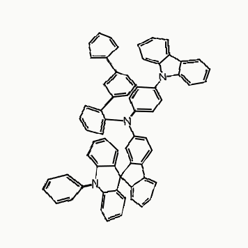 c1ccc(-c2cccc(-c3ccccc3N(c3ccc(-n4c5ccccc5c5ccccc54)cc3)c3ccc4c(c3)C3(c5ccccc5-4)c4ccccc4N(c4ccccc4)c4ccccc43)c2)cc1